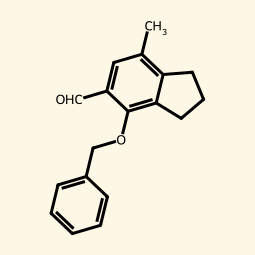 Cc1cc(C=O)c(OCc2ccccc2)c2c1CCC2